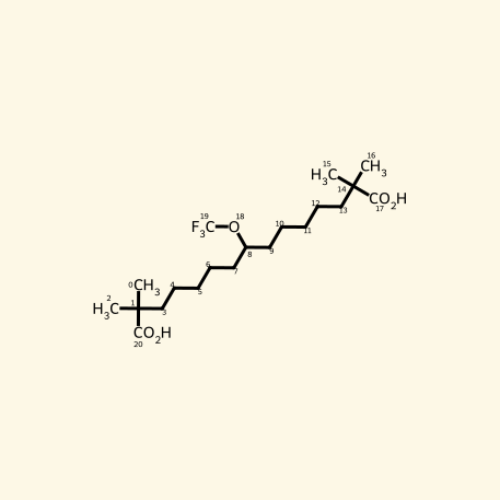 CC(C)(CCCCCC(CCCCCC(C)(C)C(=O)O)OC(F)(F)F)C(=O)O